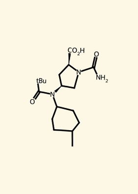 CC1CCC(N(C(=O)C(C)(C)C)[C@H]2C[C@@H](C(=O)O)N(C(N)=O)C2)CC1